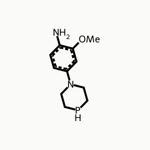 COc1cc(N2CCPCC2)ccc1N